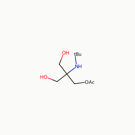 CC(=O)OCC(CO)(CO)NC(C)(C)C